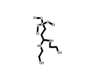 CCO[Si](CCC(NCCO)NCCO)(OCC)OCC